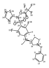 Cc1c(N(C)[C@H]2CCN(Cc3ccccc3)C2)cc(F)c(S(=O)(=O)N(OC(=O)C(F)(F)F)c2ncns2)c1F